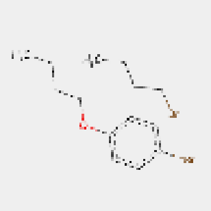 CCCCBr.CCCCOc1ccc(Br)cc1